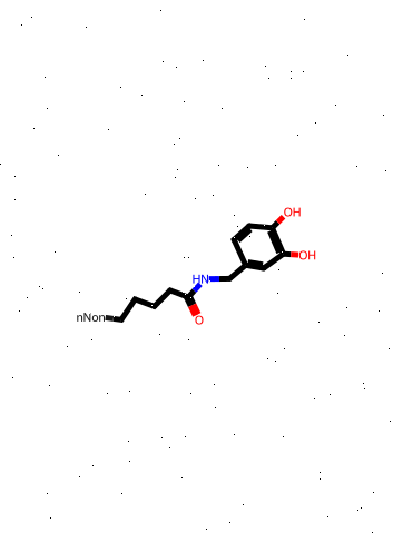 CCCCCCCCCCCCCC(=O)NCc1ccc(O)c(O)c1